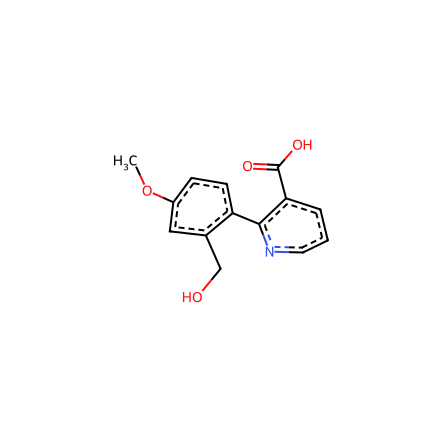 COc1ccc(-c2ncccc2C(=O)O)c(CO)c1